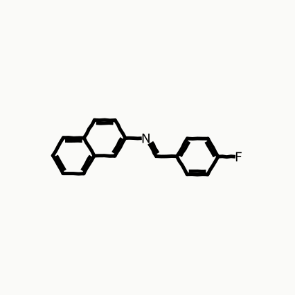 Fc1ccc(C=Nc2ccc3ccccc3c2)cc1